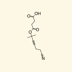 CC(C)(C#CCCC#N)OC(=O)CCC(=O)O